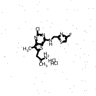 Cc1c(C[C@H](C)N)sc2c(NCc3nc(F)cs3)nc(Cl)nc12.Cl.Cl